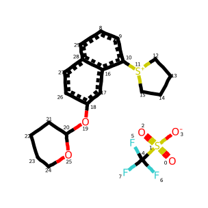 O=S(=O)([O-])C(F)(F)F.c1cc([S+]2CCCC2)c2cc(OC3CCCCO3)ccc2c1